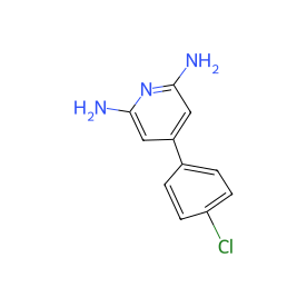 Nc1cc(-c2ccc(Cl)cc2)cc(N)n1